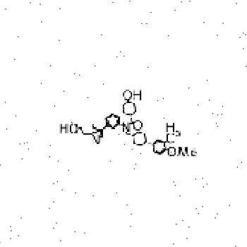 COc1ccc([C@H]2CC[C@H](CN(c3cccc(-c4cnc(CCO)s4)c3)C(=O)[C@H]3CC[C@H](O)CC3)CC2)cc1C